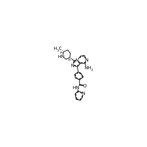 C[C@@H]1CC[C@@H](c2nc(-c3ccc(C(=O)Nc4ccccn4)cc3)c3c(N)nccn23)CN1